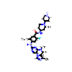 CC[C@@H]1CC(NC(=O)c2cc(OC)c(Nc3ncc4c(n3)N(C(C)C)[C@H](CC)c3c(C#N)ncn3-4)cc2F)CCN1C1CCNCC1